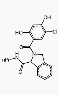 CCCNC(=O)C1c2ccccc2CN1C(=O)c1cc(Cl)c(O)cc1O